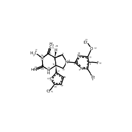 C=C1[C@@H]2CN(c3nc(CC)c(F)c(OCC)n3)C[C@]2(c2ccc(Cl)s2)NC(=N)N1C